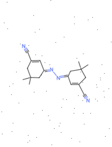 CC1(C)CC(C#N)=CC(=NN=C2C=C(C#N)CC(C)(C)C2)C1